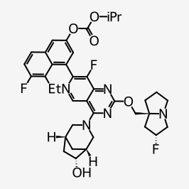 CCc1c(F)ccc2cc(OC(=O)OC(C)C)cc(-c3ncc4c(N5C[C@@H]6C[C@H](C5)[C@H](O)C6)nc(OC[C@@]56CCCN5C[C@H](F)C6)nc4c3F)c12